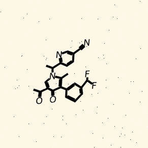 CC(=O)c1cn(C(C)c2ccc(C#N)cn2)c(C)c(-c2cccc(C(F)F)c2)c1=O